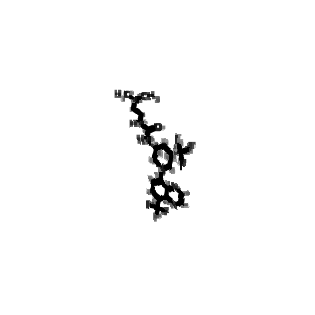 CN(C)CCNC(=O)N[C@@H]1C[C@H](C(F)(F)F)CN(c2ccc(C(F)(F)F)c3nccnc23)C1